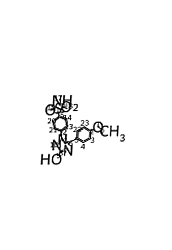 COc1ccc(-c2nc(O)nn2-c2ccc(S(N)(=O)=O)cc2)cc1